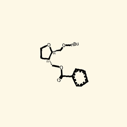 CCCCOC[C@@H]1OCC[C@H]1COC(=O)c1ccccc1